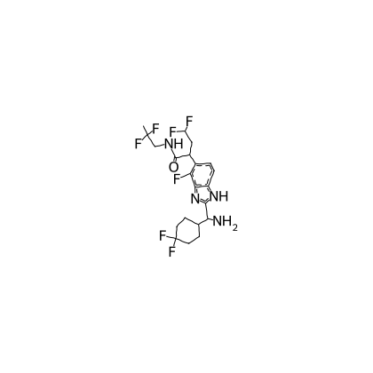 CC(F)(F)CNC(=O)C(CC(F)F)c1ccc2[nH]c(C(N)C3CCC(F)(F)CC3)nc2c1F